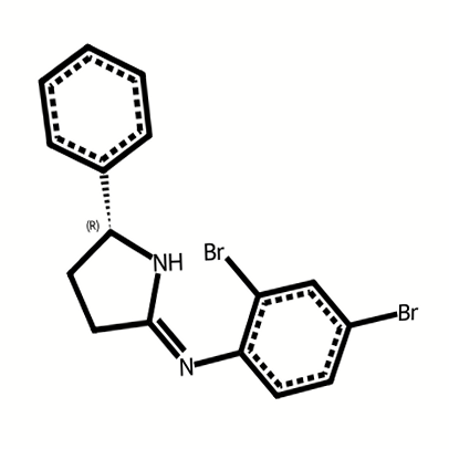 Brc1ccc(N=C2CC[C@H](c3ccccc3)N2)c(Br)c1